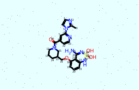 Cc1nccn1-c1cc(C(=O)N2CCCC(COc3cccc4c3C(N)=NS(O)(O)N4)C2)ccn1